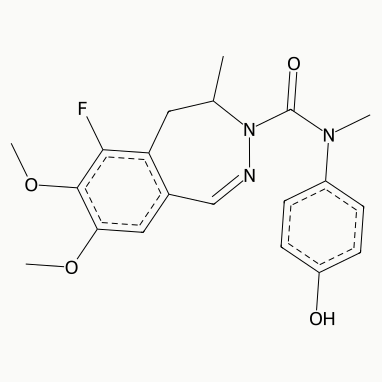 COc1cc2c(c(F)c1OC)CC(C)N(C(=O)N(C)c1ccc(O)cc1)N=C2